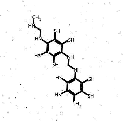 CNCNc1c(S)c(S)c(NCNc2c(S)c(S)c(C)c(S)c2S)c(S)c1S